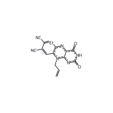 C=CCn1c2nc(=O)[nH]c(=O)c-2nc(CC)c1/C=C(/C#N)C(=C)C#N